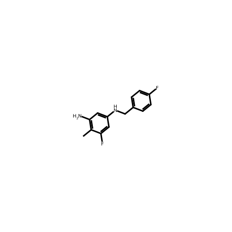 Cc1c(N)cc(NCc2ccc(F)cc2)cc1F